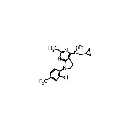 CCCN(CC1CC1)c1nc(C)nc2c1CCN2c1ccc(C(F)(F)F)cc1Cl